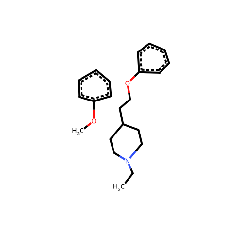 CCN1CCC(CCOc2ccccc2)CC1.COc1ccccc1